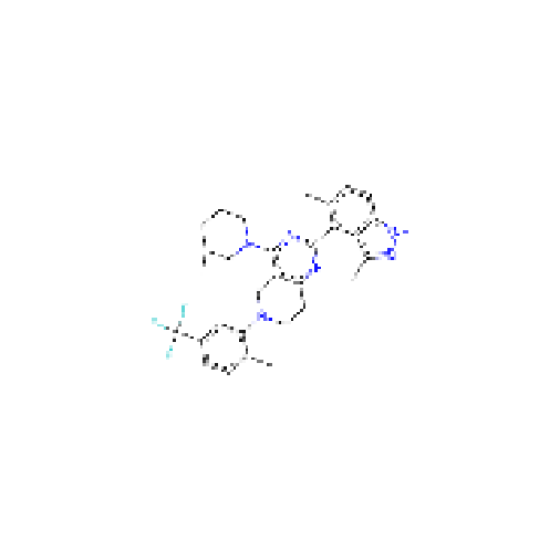 Cc1ccc(C(F)(F)F)cc1N1CCc2nc(-c3c(C)ccc4[nH]nc(C)c34)nc(N3CCCC(C)(C)C3)c2C1